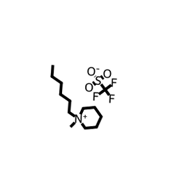 CCCCCC[N+]1(C)CCCCC1.O=S(=O)([O-])C(F)(F)F